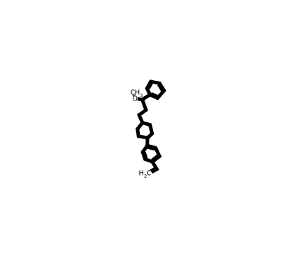 C=Cc1ccc(C2CCC(CCC(OC)c3ccccc3)CC2)cc1